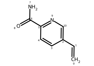 C=Cc1ccc(C(N)=O)nc1